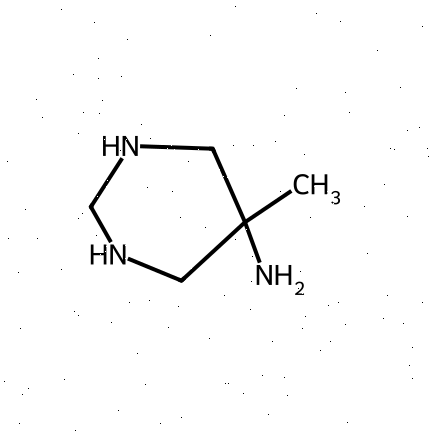 CC1(N)CNCNC1